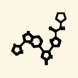 O=C(NC1CCCC1)c1ccc(-c2n[nH]cc2-c2ccc3ncc(-c4nccs4)n3c2)s1